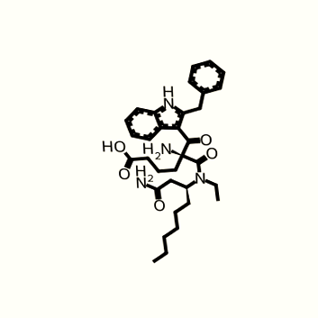 CCCCCC[C@@H](CC(N)=O)N(CC)C(=O)[C@](N)(CCCC(=O)O)C(=O)c1c(Cc2ccccc2)[nH]c2ccccc12